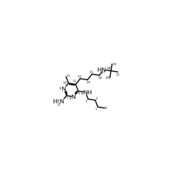 CCCCNc1nc(N)nc(C)c1CCCCNC(C)(C)C